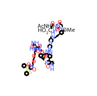 COc1ccc(C#CCNC2(C)CCN(C3CCN(c4nc([C@@](COCNC(=O)[C@H](CC(N)=O)NC(=O)CCOCCOCCN5C(=O)C(Sc6ccccc6)=C(Sc6ccccc6)C5=O)(OC5CC5)c5ccccc5)c5cc(-c6cn(C)c(=O)c7[nH]ccc67)ccc5n4)CC3)CC2)cc1N1CCC(=O)N(CNC(=O)[C@H](CC(=O)O)NC(C)=O)C1=O